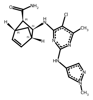 Cc1nc(Nc2cnn(C)c2)nc(N[C@@H]2[C@H](C(N)=O)[C@H]3C=C[C@@H]2C3)c1Cl